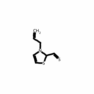 C=CCN1C=CSC1C=S